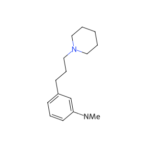 CNc1cccc(CCCN2CCCCC2)c1